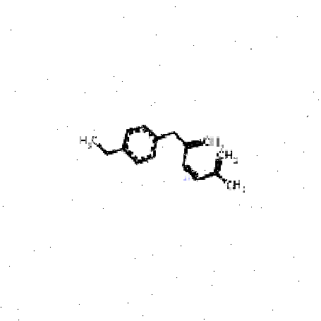 C=C(C)/C=C\C(=C)Cc1ccc(CC)cc1